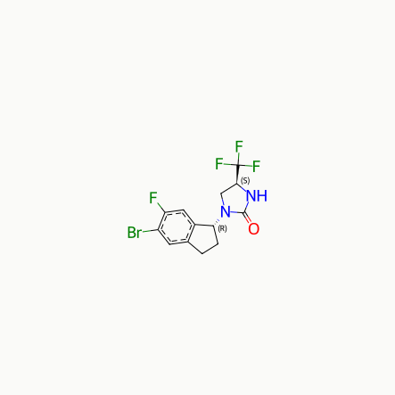 O=C1N[C@H](C(F)(F)F)CN1[C@@H]1CCc2cc(Br)c(F)cc21